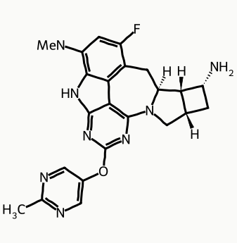 CNc1cc(F)c2c3c1[nH]c1nc(Oc4cnc(C)nc4)nc(c13)N1C[C@H]3C[C@@H](N)[C@H]3[C@@H]1C2